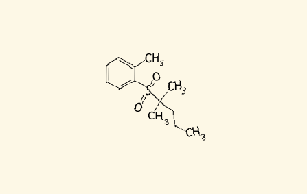 CCCC(C)(C)S(=O)(=O)c1ccccc1C